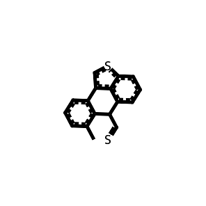 Cc1cccc2c1C(C=S)c1cccc3scc-2c13